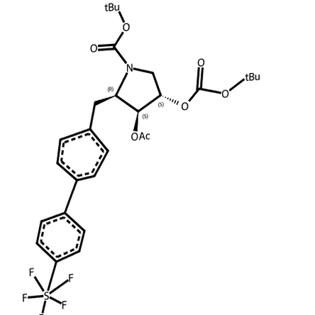 CC(=O)O[C@@H]1[C@@H](OC(=O)OC(C)(C)C)CN(C(=O)OC(C)(C)C)[C@@H]1Cc1ccc(-c2ccc(S(F)(F)(F)(F)F)cc2)cc1